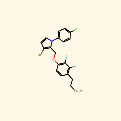 CCOC(=O)CCc1ccc(OCc2c(Br)ccn2-c2ccc(Cl)cc2)c(F)c1F